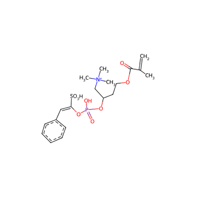 C=C(C)C(=O)OCCC(C[N+](C)(C)C)OP(=O)(O)OC(=Cc1ccccc1)S(=O)(=O)O